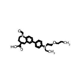 CCCOCCN(CC)c1ccc(-c2ccc3c(c2)C=C(C(=O)O)CCN3C=O)cc1